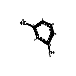 [CH]c1cccc([CH])n1